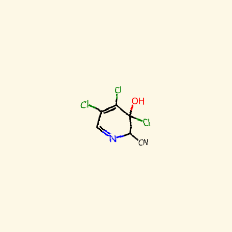 N#CC1N=CC(Cl)=C(Cl)C1(O)Cl